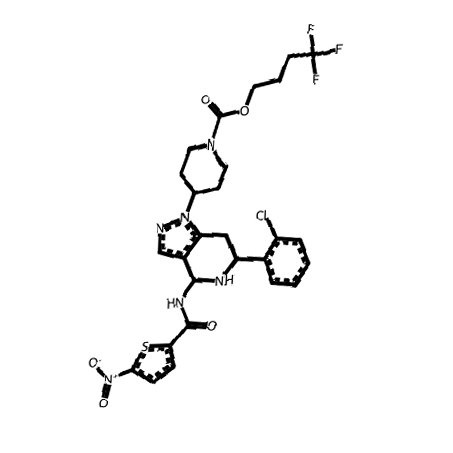 O=C(NC1NC(c2ccccc2Cl)Cc2c1cnn2C1CCN(C(=O)OCCCC(F)(F)F)CC1)c1ccc([N+](=O)[O-])s1